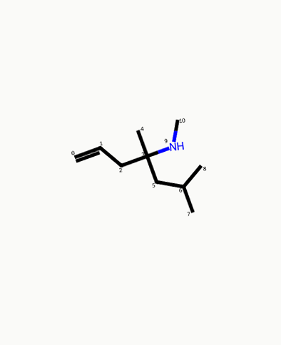 C=CCC(C)(CC(C)C)NC